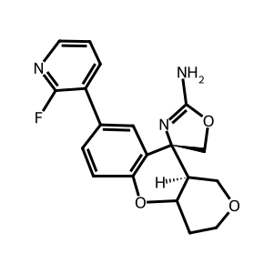 NC1=N[C@@]2(CO1)c1cc(-c3cccnc3F)ccc1OC1CCOC[C@@H]12